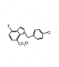 CCOC(=O)c1ccc(F)c2ccn(Cc3ccc(Cl)cc3)c12